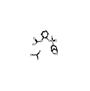 CCC(=O)Oc1ccccc1OS(=O)(=O)c1cc2cc(c1)OC2.FC(F)F